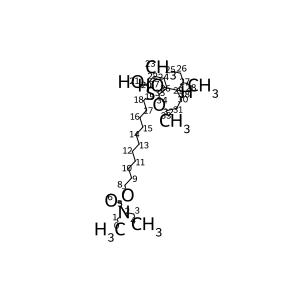 CCN(CC)C(=O)OCCCCCCCCCCCS[C@H](O)[C@H](C)[C@@H]1CC[C@@H](C)[C@@H]2CC[C@H](C)OC[C@]12O